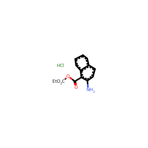 CCOC(=O)OC(=O)c1c(N)ccc2ccccc12.Cl